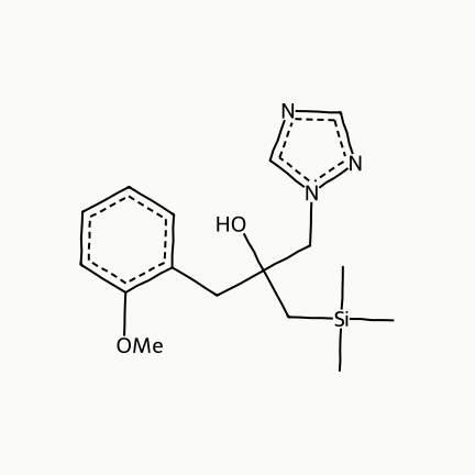 COc1ccccc1CC(O)(Cn1cncn1)C[Si](C)(C)C